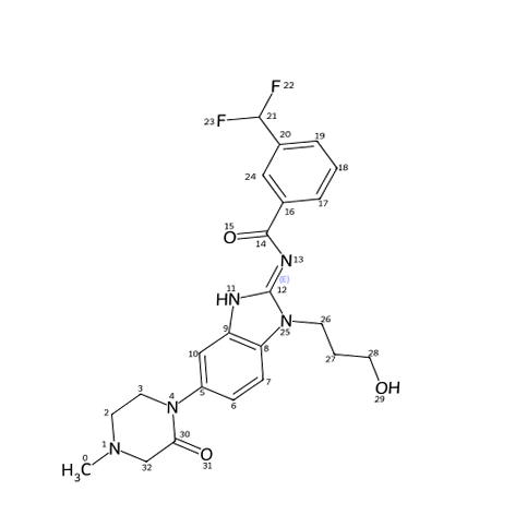 CN1CCN(c2ccc3c(c2)[nH]/c(=N\C(=O)c2cccc(C(F)F)c2)n3CCCO)C(=O)C1